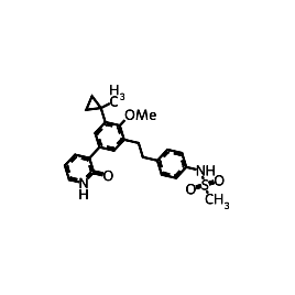 COc1c(CCc2ccc(NS(C)(=O)=O)cc2)cc(-c2ccc[nH]c2=O)cc1C1(C)CC1